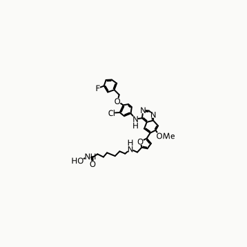 COc1cc2ncnc(Nc3ccc(OCc4cccc(F)c4)c(Cl)c3)c2cc1-c1ccc(CNCCCCCCC(=O)NO)o1